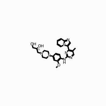 COc1cc(N2CCN(C[C@H](O)CO)CC2)ccc1Nc1ncc(C)c(-c2cnc3ccccn23)n1